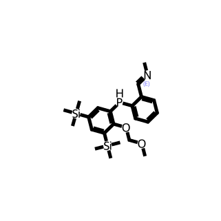 C/N=C/c1ccccc1Pc1cc([Si](C)(C)C)cc([Si](C)(C)C)c1OCOC